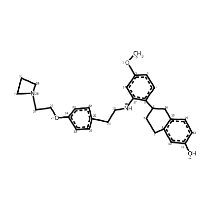 COc1ccc(C2CCc3cc(O)ccc3C2)c(NCCc2ccc(OCCN3CCC3)cc2)c1